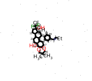 CC/C=C/c1ccc([C@H]2CC3(C)C(CCC3(O)C(F)(F)C(F)(F)F)C3CC[C@@]4(O)CC5(CCC4=C32)OCC(C)(C)CO5)cc1